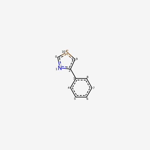 [c]1nc(-c2ccccc2)[c]s1